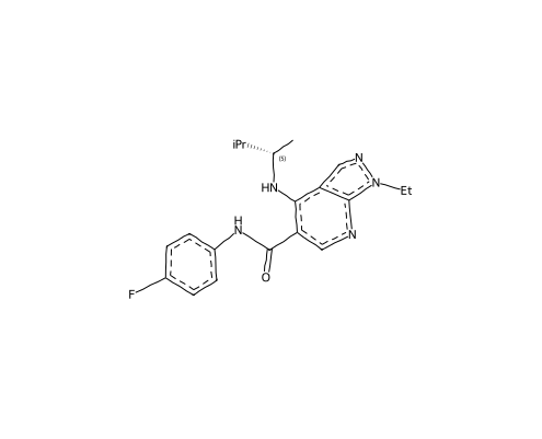 CCn1ncc2c(N[C@@H](C)C(C)C)c(C(=O)Nc3ccc(F)cc3)cnc21